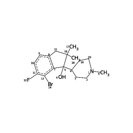 CN1CCC(C2(O)c3c(ccc(F)c3Br)CC2(C)C)CC1